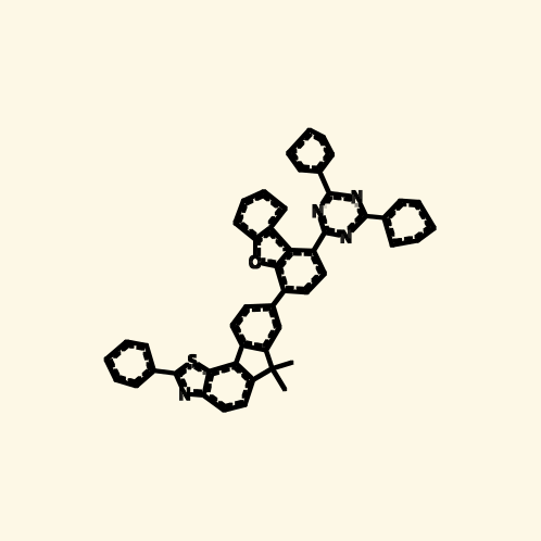 CC1(C)c2cc(-c3ccc(-c4nc(-c5ccccc5)nc(-c5ccccc5)n4)c4c3oc3ccccc34)ccc2-c2c1ccc1nc(-c3ccccc3)sc21